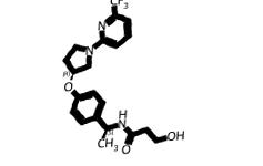 C[C@H](NC(=O)CCO)c1ccc(O[C@@H]2CCN(c3cccc(C(F)(F)F)n3)C2)cc1